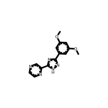 COc1cc(OC)cc(-c2n[nH]c(-c3cnccn3)n2)c1